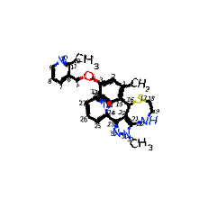 Cc1cc(OCc2cccnc2C)ccc1C1SCCNc2c1c(-c1ccccn1)nn2C